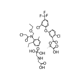 CCOCN(C(=O)CCl)c1c(C)cccc1CC.C[C@H](OC(=O)c1cc(Oc2ccc(C(F)(F)F)cc2Cl)ccc1Cl)C(=O)O.O=C(O)CNCP(=O)(O)O